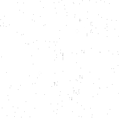 Cc1ccc(C(=O)Nc2cncc(OC(F)(F)F)c2)cc1OC1CN(c2cnn3ccncc23)C1